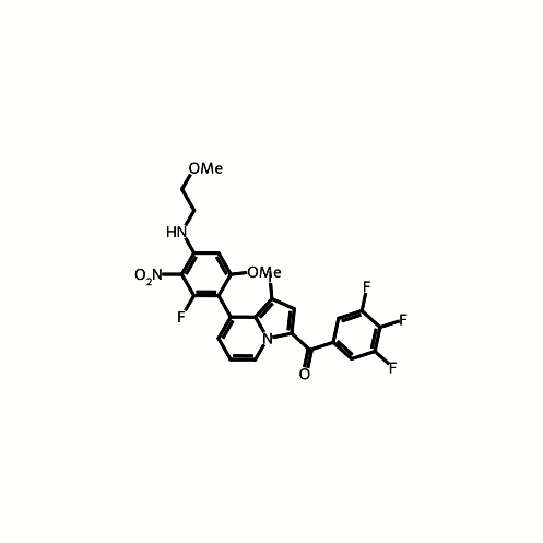 COCCNc1cc(OC)c(-c2cccn3c(C(=O)c4cc(F)c(F)c(F)c4)cc(I)c23)c(F)c1[N+](=O)[O-]